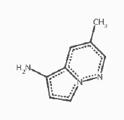 Cc1cnn2ccc(N)c2c1